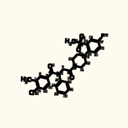 Cc1cc(C(=O)N(CC(=O)N2CCN(c3ccc(F)cc3S(C)(=O)=O)CC2)c2ccccc2)ccc1Cl